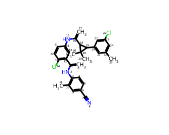 C=C(Nc1ccc(C#N)cc1C)c1cc(NC(=C)C2C(c3cc(C)cc(Cl)c3)C2(C)C)ccc1Cl